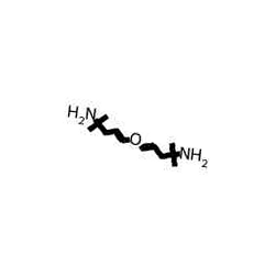 CC(C)(N)CC=COC=CCC(C)(C)N